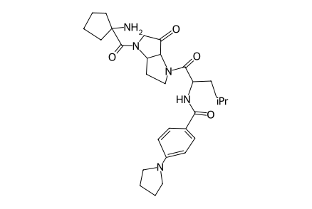 CC(C)CC(NC(=O)c1ccc(N2CCCC2)cc1)C(=O)N1CCC2C1C(=O)CN2C(=O)C1(N)CCCC1